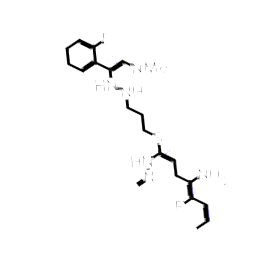 C=NN/C(=C\C/C(N)=C(F)/C=C\C)SCCCNN/C(=C\NC)C1=CCCC=C1F